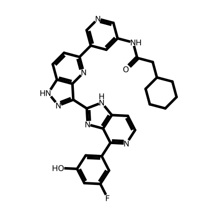 O=C(CC1CCCCC1)Nc1cncc(-c2ccc3[nH]nc(-c4nc5c(-c6cc(O)cc(F)c6)nccc5[nH]4)c3n2)c1